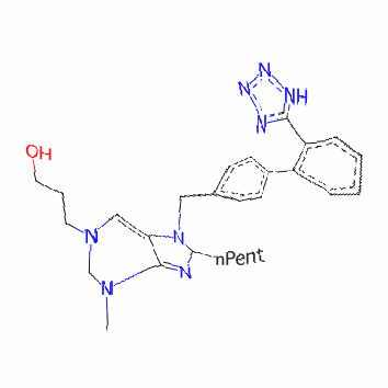 CCCCCC1N=C2C(=CN(CCCO)CN2C)N1Cc1ccc(-c2ccccc2-c2nnn[nH]2)cc1